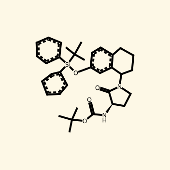 CC(C)(C)OC(=O)N[C@@H]1CCN(C2CCCc3ccc(O[Si](c4ccccc4)(c4ccccc4)C(C)(C)C)cc32)C1=O